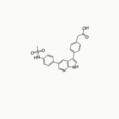 CS(=O)(=O)Nc1ccc(-c2cnc3[nH]cc(-c4ccc(CC(=O)O)cc4)c3c2)cc1